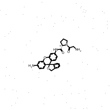 NCC(=O)N1CCC[C@H]1C(=O)Nc1ccc2c(c1)Oc1cc(N)ccc1C21OCc2ccccc21